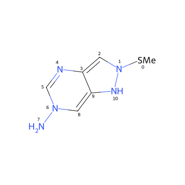 CSN1C=C2N=CN(N)C=C2N1